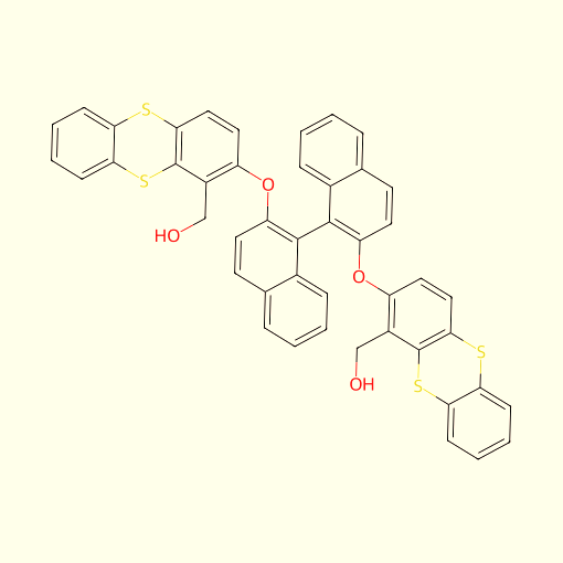 OCc1c(Oc2ccc3ccccc3c2-c2c(Oc3ccc4c(c3CO)Sc3ccccc3S4)ccc3ccccc23)ccc2c1Sc1ccccc1S2